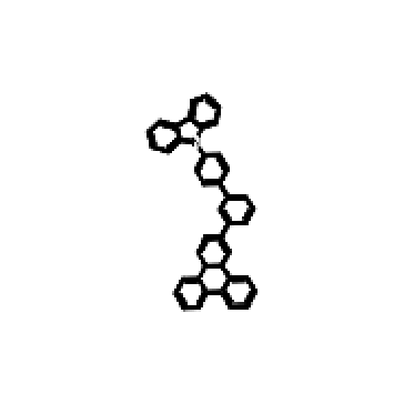 C1=CC2c3ccccc3-c3ccccc3C2C=C1c1cccc(-c2ccc(-n3c4ccccc4c4ccccc43)cc2)c1